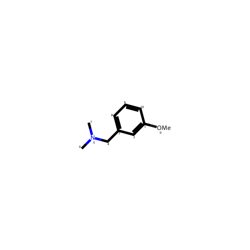 COc1[c]c(CN(C)C)ccc1